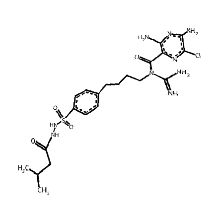 CC(C)CC(=O)NNS(=O)(=O)c1ccc(CCCCN(C(=N)N)C(=O)c2nc(Cl)c(N)nc2N)cc1